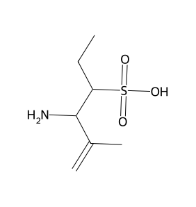 C=C(C)C(N)C(CC)S(=O)(=O)O